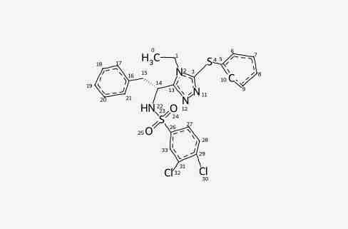 CCn1c(Sc2ccccc2)nnc1[C@@H](Cc1ccccc1)NS(=O)(=O)c1ccc(Cl)c(Cl)c1